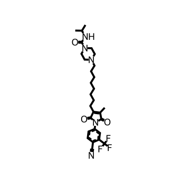 CC1=C(CCCCCCCCN2CCN(C(=O)NC(C)C)CC2)C(=O)N(c2ccc(C#N)c(C(F)(F)F)c2)C1=O